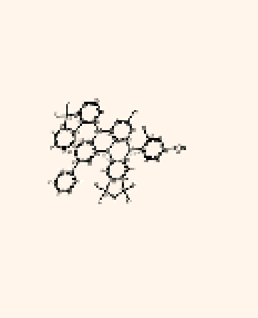 Cc1cc2c3c(c1)N(c1cccc4c1-c1ccccc1C4(C)C)c1ccc(-c4ccccc4)cc1B3c1cc3c(cc1N2c1ccc(C(C)(C)C)cc1C)C(C)(C)CC3(C)C